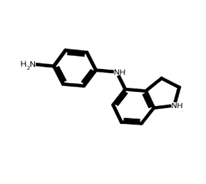 Nc1ccc(Nc2cccc3c2CCN3)cc1